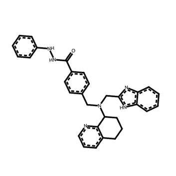 O=C(NNc1ccccc1)c1ccc(CN(Cc2nc3ccccc3[nH]2)C2CCCc3cccnc32)cc1